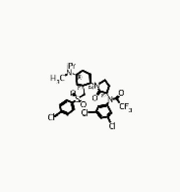 CC(C)N(C)[C@@H]1CC[C@H](N2CC[C@H](N(C(=O)C(F)(F)F)c3cc(Cl)cc(Cl)c3)C2=O)[C@@H](CS(=O)(=O)c2ccc(Cl)cc2)C1